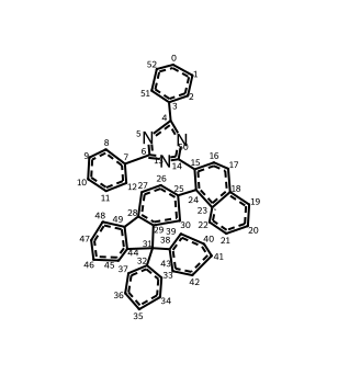 c1ccc(-c2nc(-c3ccccc3)nc(-c3ccc4ccccc4c3-c3ccc4c(c3)C(c3ccccc3)(c3ccccc3)c3ccccc3-4)n2)cc1